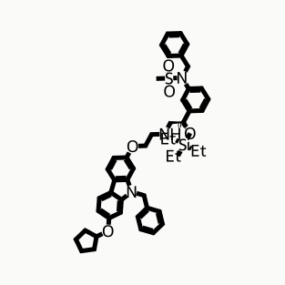 CC[Si](CC)(CC)O[C@@H](CNCCOc1ccc2c3ccc(OC4CCCC4)cc3n(Cc3ccccc3)c2c1)c1cccc(N(Cc2ccccc2)S(C)(=O)=O)c1